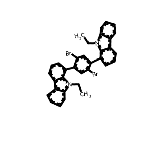 CCn1c2ccccc2c2cccc(-c3cc(Br)c(-c4cccc5c6ccccc6n(CC)c45)cc3Br)c21